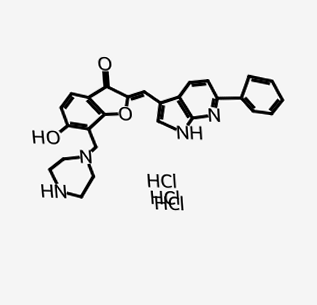 Cl.Cl.Cl.O=C1C(=Cc2c[nH]c3nc(-c4ccccc4)ccc23)Oc2c1ccc(O)c2CN1CCNCC1